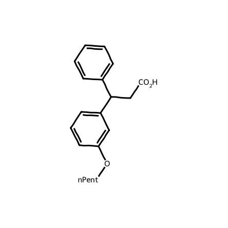 CCCCCOc1cccc(C(CC(=O)O)c2ccccc2)c1